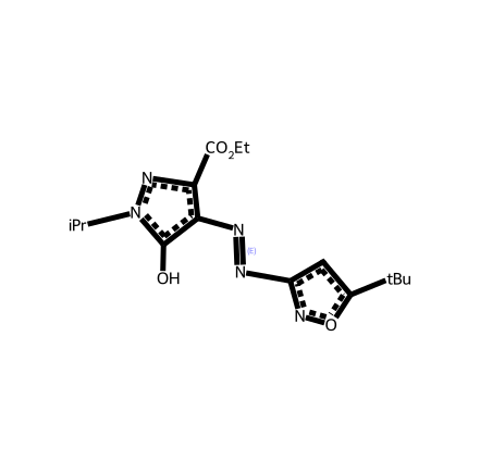 CCOC(=O)c1nn(C(C)C)c(O)c1/N=N/c1cc(C(C)(C)C)on1